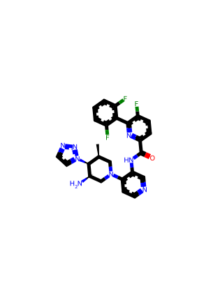 C[C@H]1CN(c2ccncc2NC(=O)c2ccc(F)c(-c3c(F)cccc3F)n2)C[C@@H](N)[C@H]1n1ccnn1